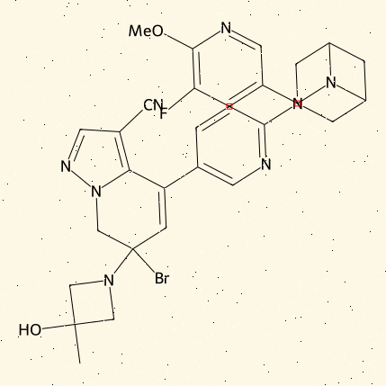 COc1ncc(CN2C3CC2CN(c2ccc(C4=CC(Br)(N5CC(C)(O)C5)Cn5ncc(C#N)c54)cn2)C3)cc1F